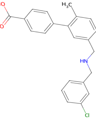 Cc1ccc(CNCc2cccc(Cl)c2)cc1-c1ccc(C(=O)O)cc1